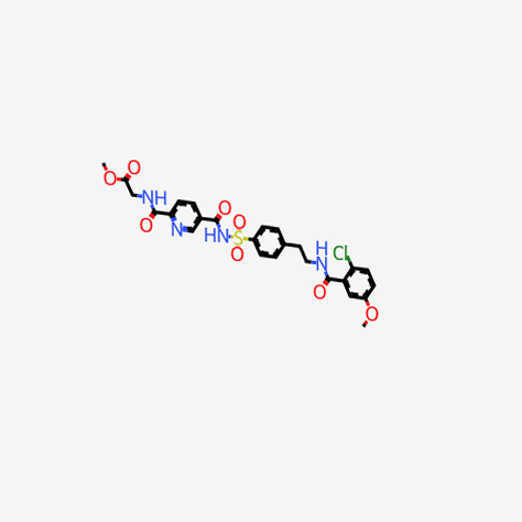 COC(=O)CNC(=O)c1ccc(C(=O)NS(=O)(=O)c2ccc(CCNC(=O)c3cc(OC)ccc3Cl)cc2)cn1